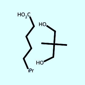 CC(C)(CO)CO.CC(C)CCCCC(=O)O